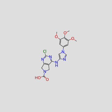 COc1cc(-n2cnc(Nc3nc(Cl)nc4c3CN(C(=O)O)C4)c2)cc(OC)c1OC